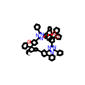 c1ccc(-c2nc(-c3ccc4c(c3)Oc3ccccc3C43c4ccccc4-c4cc(-c5ccc(-c6ccccc6)c(-c6nc(-c7ccccc7)nc(-c7ccc8c(c7)Oc7ccccc7C87c8ccccc8-c8ccccc87)n6)c5)ccc43)nc(-c3ccc4c(c3)oc3ccccc34)n2)cc1